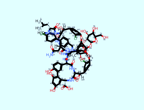 CN[C@H](CC(C)C)C(=O)N[C@H]1C(=O)N[C@@H](CC(N)=O)C(=O)N[C@H]2C(=N)N[C@H]3C(=O)N[C@H](C(=O)N[C@H](C(=O)O)c4cc(O)cc(O)c4-c4cc3ccc4O)[C@H](O)c3ccc(c(Cl)c3)Oc3cc2cc(c3O[C@@H]2OC(CO)C(O)[C@H](O)[C@H]2O[C@H]2CC(C)(NCc3ccc(-c4ccc(Cl)cc4)cc3)[C@H](O)[C@H](C)O2)Oc2ccc(cc2Cl)[C@H]1O